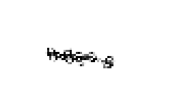 C=CC(=O)Oc1ccc2cc(C(=O)Oc3ccc(OC(=O)c4ccc(OCCCCCCOC(=O)C(=C)C)cc4)cc3CCC)ccc2c1